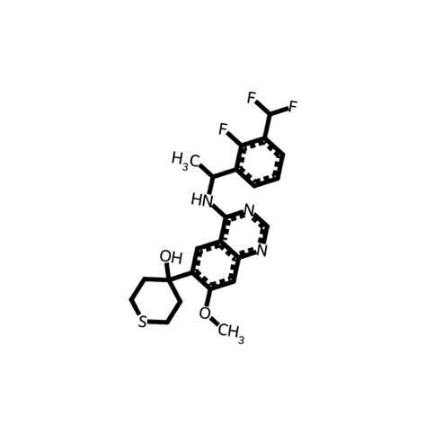 COc1cc2ncnc(NC(C)c3cccc(C(F)F)c3F)c2cc1C1(O)CCSCC1